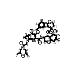 CC1CN(C(=O)Cn2ccn3c(=O)c(OCc4ccccc4)c(C(=O)SC(C=O)Cc4ccc(F)cc4S(=O)(=O)N4CCOCC4)nc23)CC(C)O1